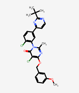 COc1cccc(COc2nc(C)n(-c3cc(-c4ccnc(C(C)(C)C)n4)ccc3Cl)c(=O)c2Cl)c1